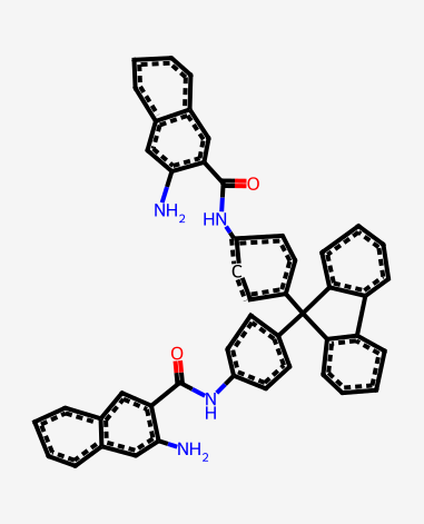 Nc1cc2ccccc2cc1C(=O)Nc1ccc(C2(c3ccc(NC(=O)c4cc5ccccc5cc4N)cc3)c3ccccc3-c3ccccc32)cc1